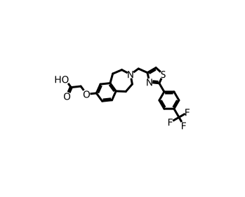 O=C(O)COc1ccc2c(c1)CCN(Cc1csc(-c3ccc(C(F)(F)F)cc3)n1)CC2